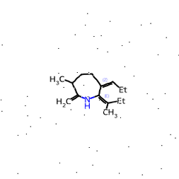 C=C1NC(=C(\C)CC)/C(=C\CC)CCC1C